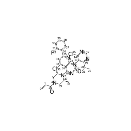 C=CC(=O)N1CCN(c2nc(=O)n(-c3c(Cl)ncnc3C(C)C)c3nc(-c4ccccc4F)cc(Cl)c23)[C@@H](C)C1